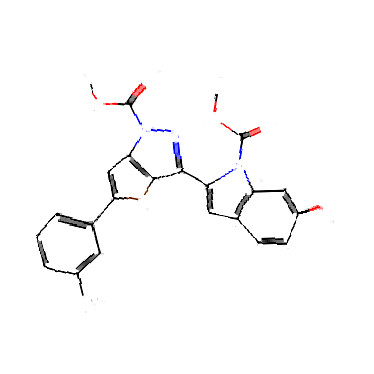 COc1cccc(-c2cc3c(s2)c(-c2cc4ccc(O)cc4n2C(=O)OC(C)(C)C)nn3C(=O)OC(C)(C)C)c1